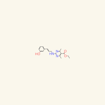 CCOC(=O)c1c(C)nc(NCC=Cc2cccc(O)c2)nc1C